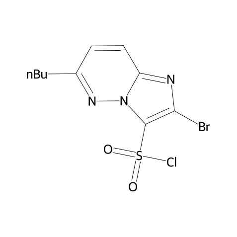 CCCCc1ccc2nc(Br)c(S(=O)(=O)Cl)n2n1